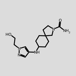 NC(=O)N1CCC2(CCC(Nc3cnn(CCO)c3)CC2)C1